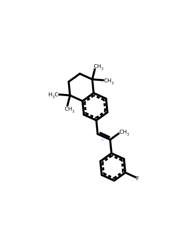 C/C(=C\c1ccc2c(c1)C(C)(C)CCC2(C)C)c1cccc(F)c1